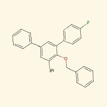 CC(C)c1cc(-c2ccccc2)cc(-c2ccc(F)cc2)c1OCc1ccccc1